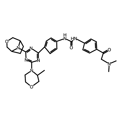 CC1COCCN1c1nc(-c2ccc(NC(=O)Nc3ccc(C(=O)CN(C)C)cc3)cc2)nc(N2C3CCC2COC3)n1